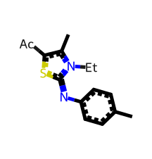 CCn1c(C)c(C(C)=O)sc1=Nc1ccc(C)cc1